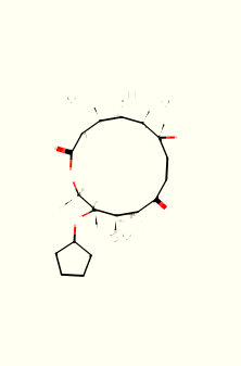 CC[C@H]1OC(=O)[C@H](C)[C@@H](OC)[C@H](C)[C@@H](OC)[C@](C)(O)CCC(=O)[C@H](C)[C@@H](OC)[C@]1(C)OC1CCCC1